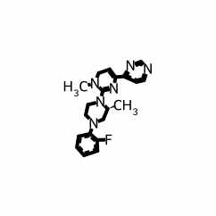 C[C@@H]1CN(c2ccccc2F)CCN1C1=NC(c2ccncn2)=CCN1C